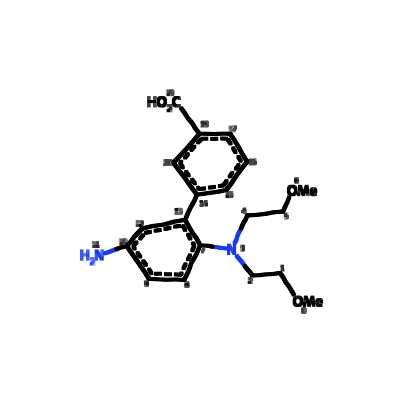 COCCN(CCOC)c1ccc(N)cc1-c1cccc(C(=O)O)c1